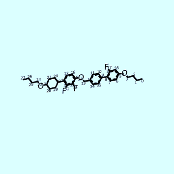 CCCCOc1ccc(-c2ccc(COc3ccc(C4CCC(OCCCC)CC4)c(F)c3F)cc2)c(F)c1